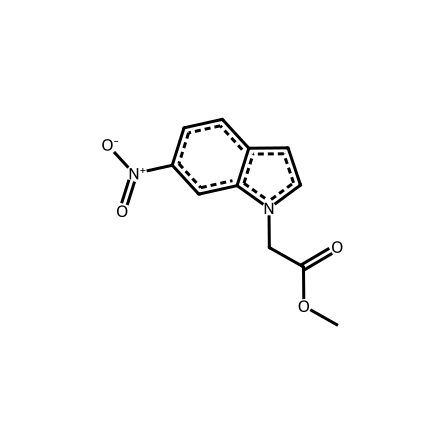 COC(=O)Cn1ccc2ccc([N+](=O)[O-])cc21